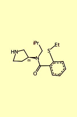 CCSc1ccccc1C(=O)N(CC(C)C)[C@H]1CCNC1